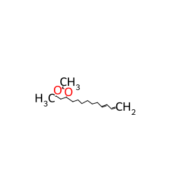 C=CC=CCCCCCCC(CCC)OC(C)=O